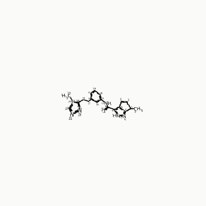 CC1CCc2c1n[nH]c2C(=O)Nc1cccc(CCc2nncn2C)c1